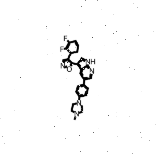 CN1CCN(c2ccc(-c3cnc4[nH]cc(-c5oncc5C5CC=CC(F)=C5F)c4c3)cc2)CC1